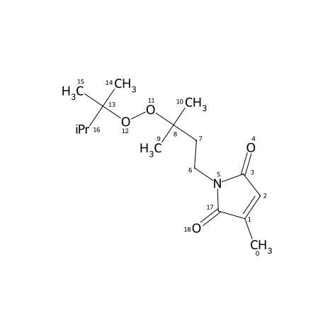 CC1=CC(=O)N(CCC(C)(C)OOC(C)(C)C(C)C)C1=O